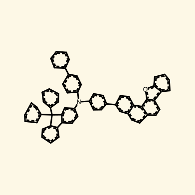 c1ccc(-c2ccc(N(c3ccc(-c4ccc5c(ccc6ccc7c8ccccc8oc7c65)c4)cc3)c3ccc4c(c3)C(c3ccccc3)(c3ccccc3)c3ccccc3-4)cc2)cc1